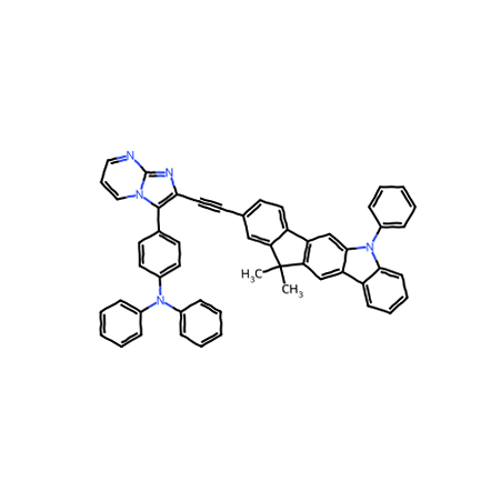 CC1(C)c2cc(C#Cc3nc4ncccn4c3-c3ccc(N(c4ccccc4)c4ccccc4)cc3)ccc2-c2cc3c(cc21)c1ccccc1n3-c1ccccc1